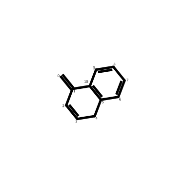 C=C1C=CCc2ccc[c]c21